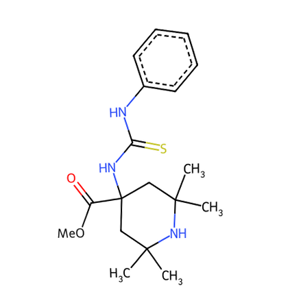 COC(=O)C1(NC(=S)Nc2ccccc2)CC(C)(C)NC(C)(C)C1